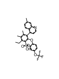 CCc1c(C)c(C)c(-c2ccnc3cc(C)ccc23)c(Oc2ccc(OC(F)(F)F)cc2)c1S(=O)(=O)O